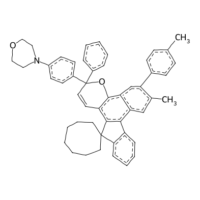 Cc1ccc(-c2cc3c4c(c5c(c3cc2C)-c2ccccc2C52CCCCCCC2)C=CC(c2ccccc2)(c2ccc(N3CCOCC3)cc2)O4)cc1